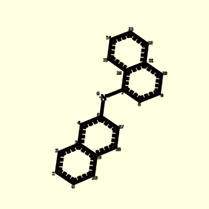 c1ccc2cc([N]c3cccc4ccccc34)ccc2c1